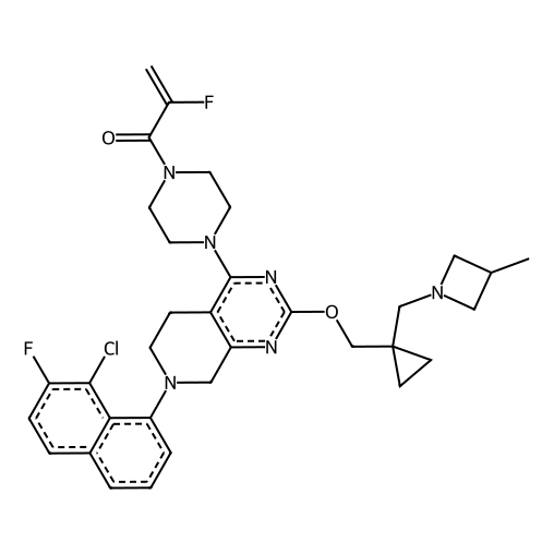 C=C(F)C(=O)N1CCN(c2nc(OCC3(CN4CC(C)C4)CC3)nc3c2CCN(c2cccc4ccc(F)c(Cl)c24)C3)CC1